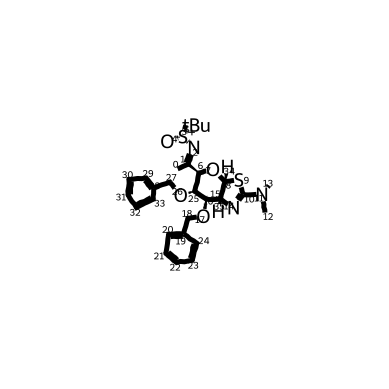 C/C(=N\[S+]([O-])C(C)(C)C)[C@H]1O[C@@H]2SC(N(C)C)=N[C@@H]2[C@@H](OCc2ccccc2)[C@@H]1OCc1ccccc1